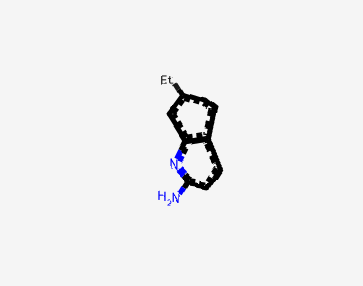 [CH2]Cc1ccc2ccc(N)nc2c1